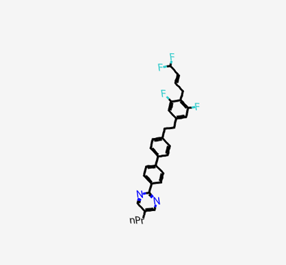 CCCc1cnc(-c2ccc(-c3ccc(CCc4cc(F)c(C/C=C/C(F)F)c(F)c4)cc3)cc2)nc1